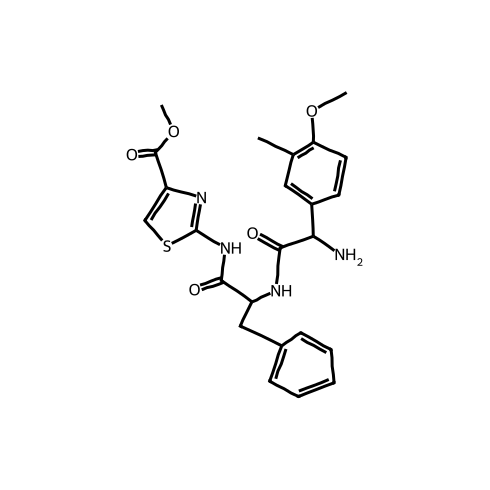 COC(=O)c1csc(NC(=O)C(Cc2ccccc2)NC(=O)C(N)c2ccc(OC)c(C)c2)n1